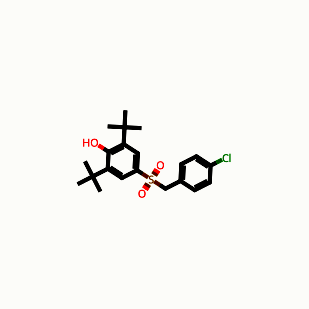 CC(C)(C)c1cc(S(=O)(=O)Cc2ccc(Cl)cc2)cc(C(C)(C)C)c1O